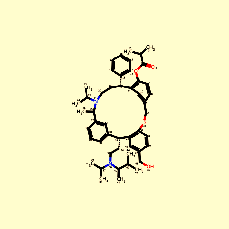 CC(C)C(=O)Oc1ccc2cc1[C@@H](c1ccccc1)CCN(C(C)C)C(C)c1cccc(c1)[C@@H](CCN(C(C)C)C(C)C(C)C)c1cc(CO)ccc1OC2